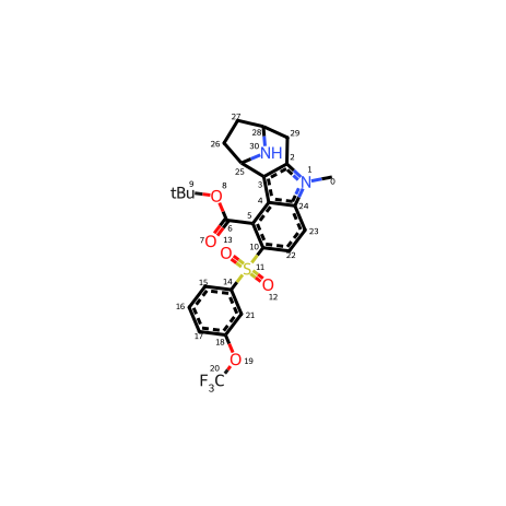 Cn1c2c(c3c(C(=O)OC(C)(C)C)c(S(=O)(=O)c4cccc(OC(F)(F)F)c4)ccc31)C1CCC(C2)N1